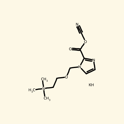 C[Si](C)(C)CCOCn1ccnc1C(=O)OC#N.[KH]